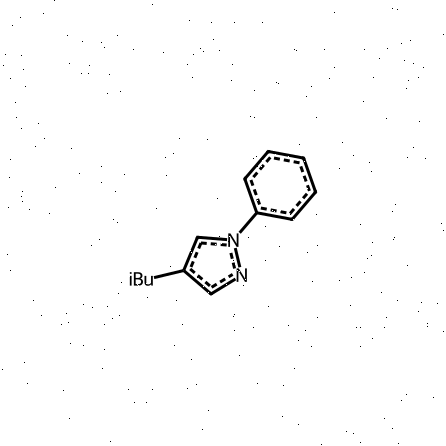 CCC(C)c1cnn(-c2ccccc2)c1